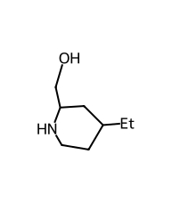 CCC1CCNC(CO)C1